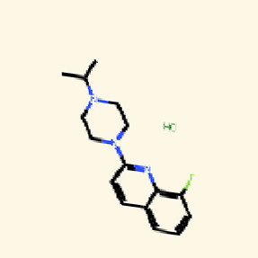 CC(C)N1CCN(c2ccc3cccc(F)c3n2)CC1.Cl